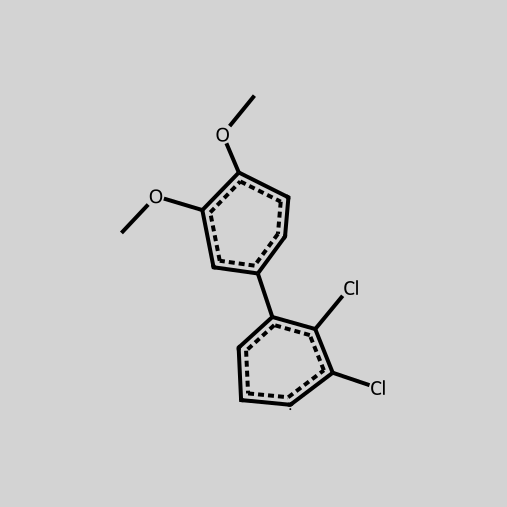 COc1ccc(-c2cc[c]c(Cl)c2Cl)cc1OC